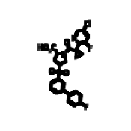 O=C(O)[C@@H]1C[C@@H](S(=O)(=O)c2cccc(-c3ccc(F)cc3)c2)CN1C(=O)C1(c2ncc(Cl)cc2F)CC1